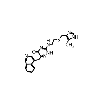 Cc1[nH]cnc1CSCCNc1nc(=O)c(Cc2cncc3ccccc23)n[nH]1